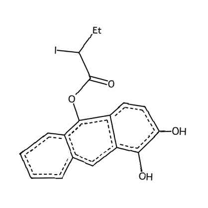 CCC(I)C(=O)Oc1c2ccccc2cc2c(O)c(O)ccc12